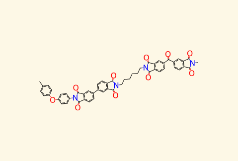 Cc1ccc(Oc2ccc(N3C(=O)c4ccc(-c5ccc6c(c5)C(=O)N(CCCCCCN5C(=O)c7ccc(C(=O)c8ccc9c(c8)C(=O)N(C)C9=O)cc7C5=O)C6=O)cc4C3=O)cc2)cc1